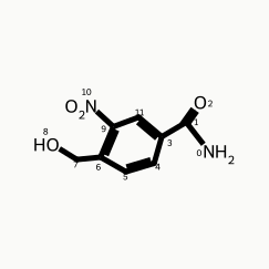 NC(=O)c1ccc(CO)c([N+](=O)[O-])c1